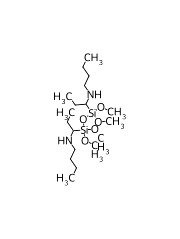 CCCCNC(CC)[Si](OC)(OC)O[Si](OC)(OC)C(CC)NCCCC